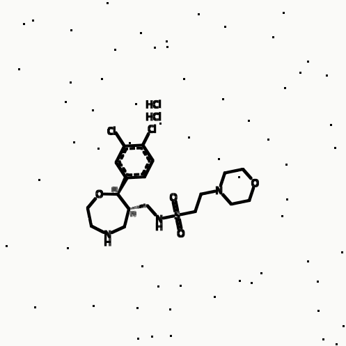 Cl.Cl.O=S(=O)(CCN1CCOCC1)NC[C@@H]1CNCCO[C@H]1c1ccc(Cl)c(Cl)c1